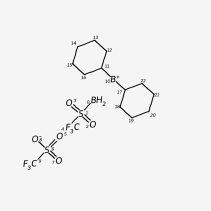 BS(=O)(=O)C(F)(F)F.O=S(=O)([O-])C(F)(F)F.[B+](C1CCCCC1)C1CCCCC1